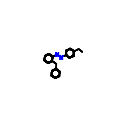 CCc1ccc(/N=N/c2ccccc2Cc2ccccc2)cc1